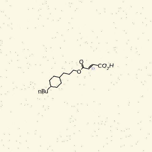 CCCCC1CCC(CCCOC(=O)/C=C/C(=O)O)CC1